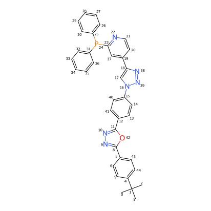 CC(C)(C)c1ccc(-c2nnc(-c3ccc(-n4cc(-c5ccnc(P(c6ccccc6)c6ccccc6)c5)nn4)cc3)o2)cc1